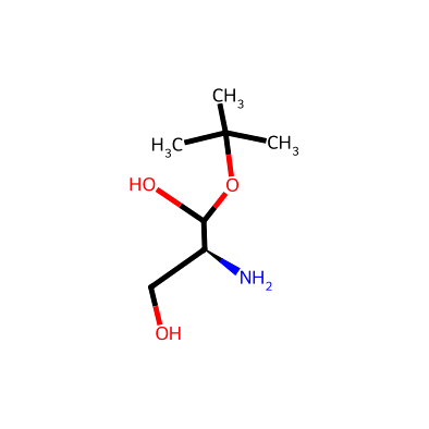 CC(C)(C)OC(O)[C@@H](N)CO